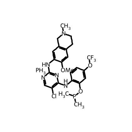 COc1cc2c(cc1Nc1ncc(Cl)c(Nc3ccc(OC(F)(F)F)cc3OP(C)C)n1)CN(C)CC2.P